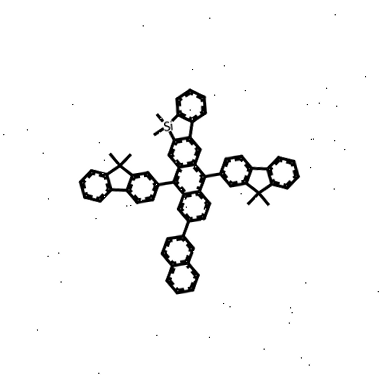 CC1(C)c2ccccc2-c2ccc(-c3c4ccc(-c5ccc6ccccc6c5)cc4c(-c4ccc5c(c4)C(C)(C)c4ccccc4-5)c4cc5c(cc34)-c3ccccc3[Si]5(C)C)cc21